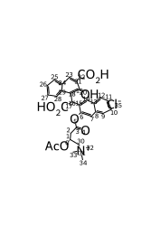 CC(=O)O[C@H](CC(=O)Oc1cc2ccccc2cc1C(C(=O)O)c1c(O)c(C(=O)O)cc2ccccc12)C[N+](C)(C)C.[Cl-]